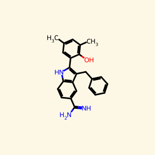 Cc1cc(C)c(O)c(-c2[nH]c3ccc(C(=N)N)cc3c2Cc2ccccc2)c1